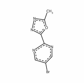 Cc1nnc(-c2ncc(Br)cn2)o1